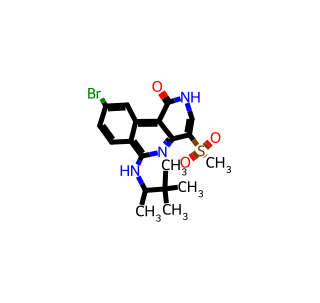 CC(Nc1nc2c(S(C)(=O)=O)c[nH]c(=O)c2c2cc(Br)ccc12)C(C)(C)C